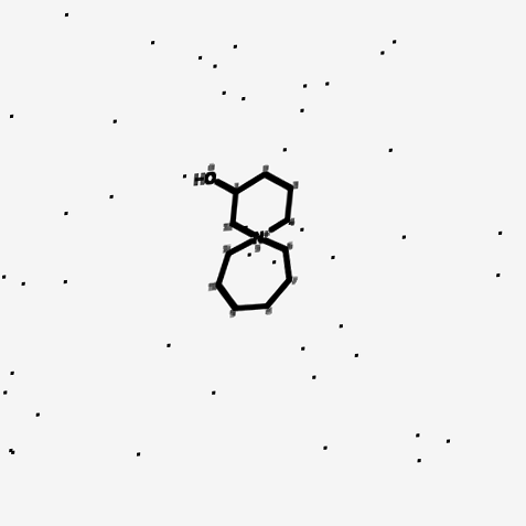 OC1CCC[N+]2(CCCCCC2)C1